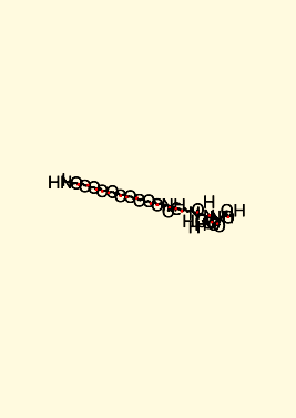 O=C(O)CC[C@H](NC(=O)N[C@@H](CCC(=O)NCCCCCCCC(=O)NCCOCCOCCOCCOCCOCCOCCOCCOCCOCCOCCNI)C(=O)O)C(=O)O